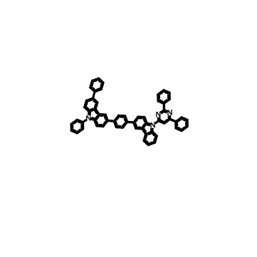 c1ccc(-c2ccc3c(c2)c2cc(-c4ccc(-c5ccc6c(c5)c5ccccc5n6-c5cc(-c6ccccc6)nc(-c6ccccc6)n5)cc4)ccc2n3-c2ccccc2)cc1